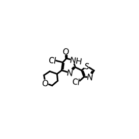 O=c1[nH]c(-c2scnc2Cl)nc(C2CCOCC2)c1Cl